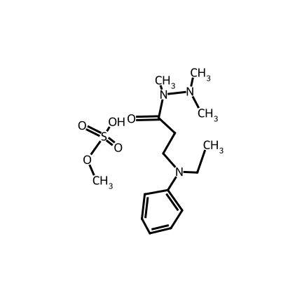 CCN(CCC(=O)N(C)N(C)C)c1ccccc1.COS(=O)(=O)O